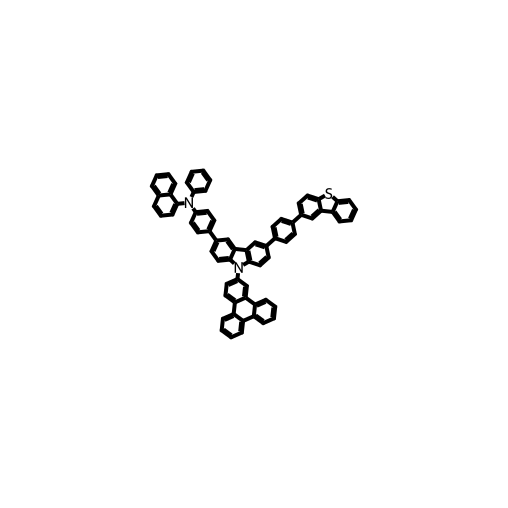 c1ccc(N(c2ccc(-c3ccc4c(c3)c3cc(-c5ccc(-c6ccc7sc8ccccc8c7c6)cc5)ccc3n4-c3ccc4c5ccccc5c5ccccc5c4c3)cc2)c2cccc3ccccc23)cc1